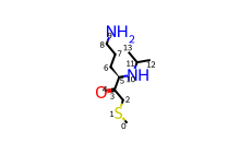 CSCC(=O)[C@@H](CCCN)NC(C)C